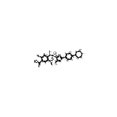 COc1cc(C(=O)O)c(F)cc1NS(=O)(=O)c1nc(-c2ccc(C3CCCCC3)cc2)sc1C